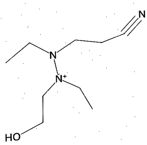 CCN(CCC#N)[N+](CC)CCO